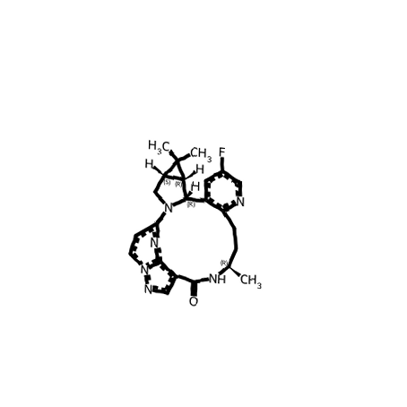 C[C@@H]1CCc2ncc(F)cc2[C@H]2[C@@H]3[C@H](CN2c2ccn4ncc(c4n2)C(=O)N1)C3(C)C